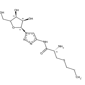 [CH2][CH]CSC[C@@H](N)C(=O)Nc1cn([C@H]2OC(CO)[C@@H](O)[C@H]2O)nn1